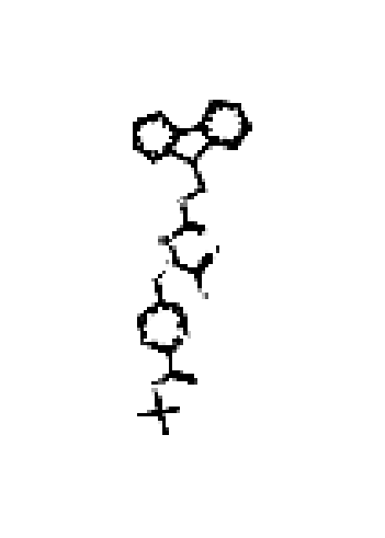 CC(C)(C)OC(=O)c1ncc(C[C@H](NC(=O)OCC2c3ccccc3-c3ccccc32)C(=O)O)cn1